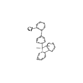 CC1(c2ccc(-c3ccccc3Cl)cc2)c2ccccc2-c2ccccc21